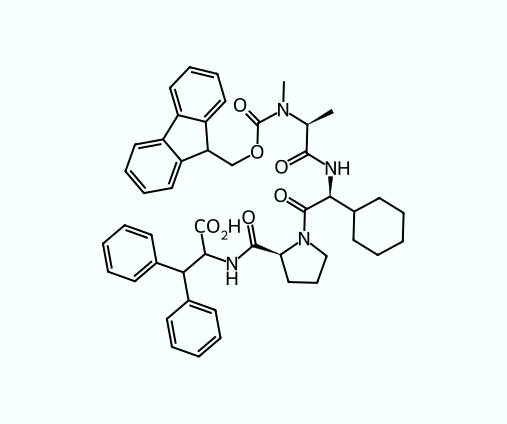 C[C@@H](C(=O)N[C@H](C(=O)N1CCC[C@H]1C(=O)NC(C(=O)O)C(c1ccccc1)c1ccccc1)C1CCCCC1)N(C)C(=O)OCC1c2ccccc2-c2ccccc21